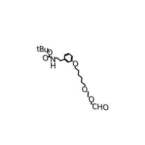 CC(C)(C)OC(=O)NCCc1cccc(OCCCCCCOCCOCC=O)c1